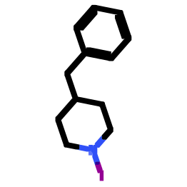 IN1CCC(Cc2ccccc2)CC1